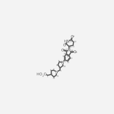 O=C(O)CC1CCN(CC2CCN(c3ccc4c(c3)C(=O)N(C3CCC(=O)NC3=O)C4=O)C2)CC1